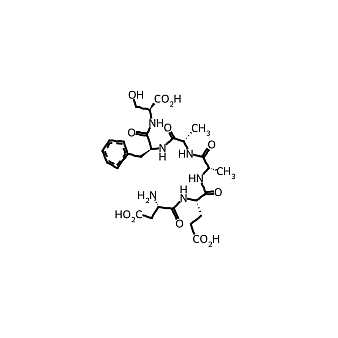 C[C@H](NC(=O)[C@H](C)NC(=O)[C@H](CCC(=O)O)NC(=O)[C@@H](N)CC(=O)O)C(=O)N[C@@H](Cc1ccccc1)C(=O)N[C@@H](CO)C(=O)O